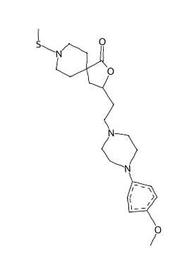 COc1ccc(N2CCN(CCC3CC4(CCN(SC)CC4)C(=O)O3)CC2)cc1